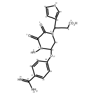 CCCN1C(=O)C(=O)N(C(CC(=O)O)c2ccsc2)CC1Oc1ccc(C(=N)N)cc1